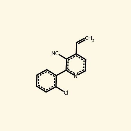 C=Cc1ccnc(-c2ccccc2Cl)c1C#N